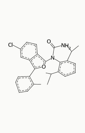 Cc1ccccc1-c1oc(N(C(N)=O)c2c(C(C)C)cccc2C(C)C)c2ccc(Cl)cc12